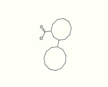 O=C(Cl)C1CCCCCCCC(C2CCCCCCCCCC2)C1